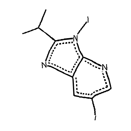 CC(C)c1nc2cc(I)cnc2n1I